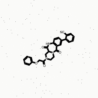 N#Cc1ccccc1-c1ccc2c(c1)C(=O)N1CCN(C(=O)COc3ccccc3)CC1C(=O)N2